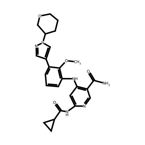 COc1c(Nc2cc(NC(=O)C3CC3)ncc2C(N)=O)cccc1-c1cnn(C2CCCOC2)c1